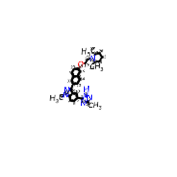 Cc1n[nH]c(-c2ccc3c(c2)c(-c2ccc4cc(OCCN5C(C)CCCC5C)ccc4c2)nn3C)n1